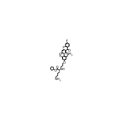 NCCCC[C@H](NCCCOc1cc(F)c(-n2c(N)c(C(=O)c3ccc(F)cc3F)ccc2=O)c(F)c1)C(=O)OC1CCCC1